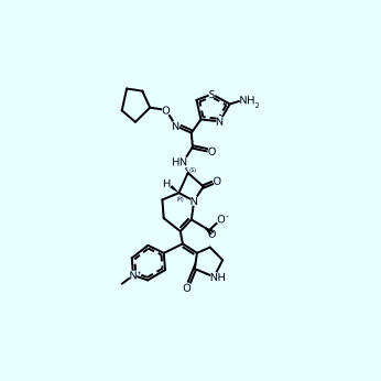 C[n+]1ccc(C(=C2CCNC2=O)C2=C(C(=O)[O-])N3C(=O)[C@@H](NC(=O)C(=NOC4CCCC4)c4csc(N)n4)[C@H]3CC2)cc1